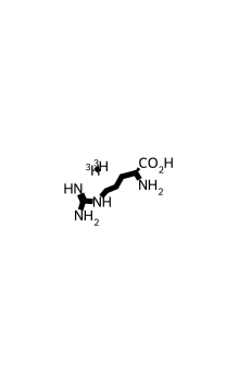 N=C(N)NCCC[C@H](N)C(=O)O.[3H][3H]